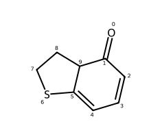 O=C1C=CC=C2SCCC12